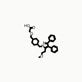 COCCc1c(-c2ccccc2)c(-c2ccccc2)nn1CC1CCC(COCC(=O)O)CC1